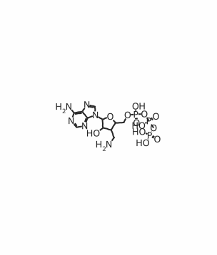 NCC1C(COP(=O)(O)OP(=O)(O)OP(=O)(O)O)OC(n2cnc3c(N)ncnc32)C1O